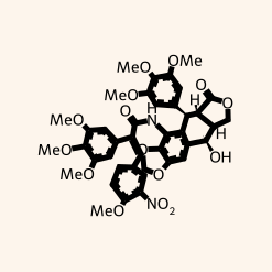 COc1ccc(/C=C(/C(=O)Nc2c3c(cc4c2[C@@H](c2cc(OC)c(OC)c(OC)c2)[C@H]2C(=O)OC[C@@H]2[C@H]4O)OCO3)c2cc(OC)c(OC)c(OC)c2)cc1[N+](=O)[O-]